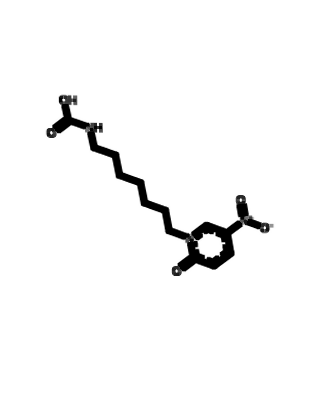 O=C(O)NCCCCCCCn1cc([N+](=O)[O-])ccc1=O